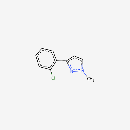 Cn1c[c]c(-c2ccccc2Cl)n1